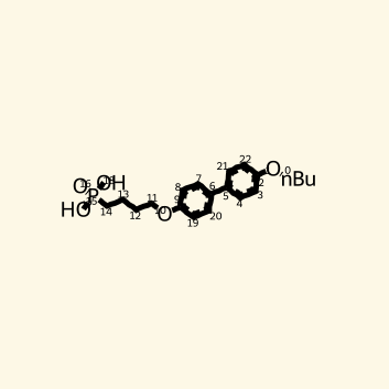 CCCCOc1ccc(-c2ccc(OCCCCP(=O)(O)O)cc2)cc1